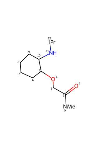 CNC(=O)COC1CCCCC1NC(C)C